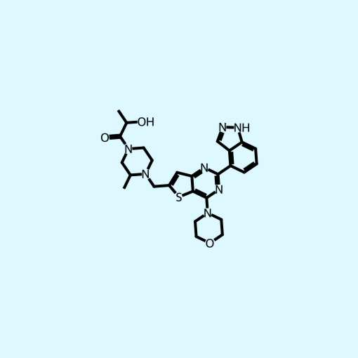 CC(O)C(=O)N1CCN(Cc2cc3nc(-c4cccc5[nH]ncc45)nc(N4CCOCC4)c3s2)C(C)C1